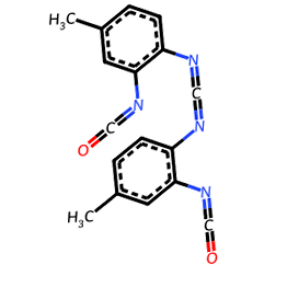 Cc1ccc(N=C=Nc2ccc(C)cc2N=C=O)c(N=C=O)c1